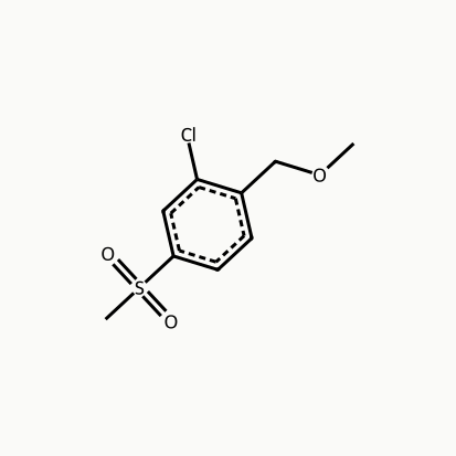 COCc1ccc(S(C)(=O)=O)cc1Cl